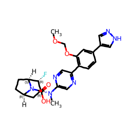 COCOc1cc(-c2cn[nH]c2)ccc1-c1cnc(N(C)[C@@H]2C[C@H]3CC[C@@H]([C@@H]2F)N3C(=O)O)cn1